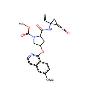 C=CC1(NC(=O)C2CC(Oc3nccc4cc(OC)ccc34)CN2C(=O)OC(C)(C)C)CC1=C=O